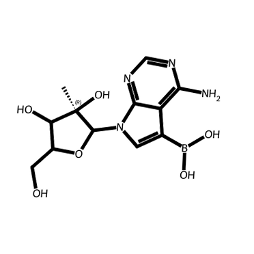 C[C@@]1(O)C(O)C(CO)OC1n1cc(B(O)O)c2c(N)ncnc21